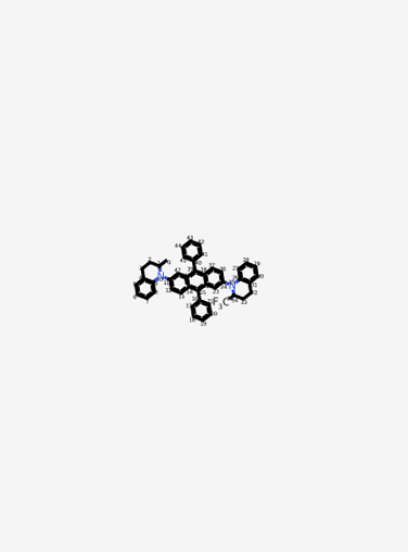 CC1CCc2ccccc2N1c1ccc2c(-c3ccccc3)c3cc(N4c5ccccc5CCC4C(F)(F)F)ccc3c(-c3ccccc3)c2c1